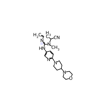 C=C/N=C(/Nc1ccc(N2CCC(N3CCOCC3)CC2)nc1)N(C)C(C)C#N